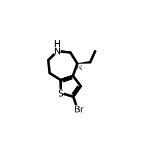 CC[C@@H]1CNCCc2sc(Br)cc21